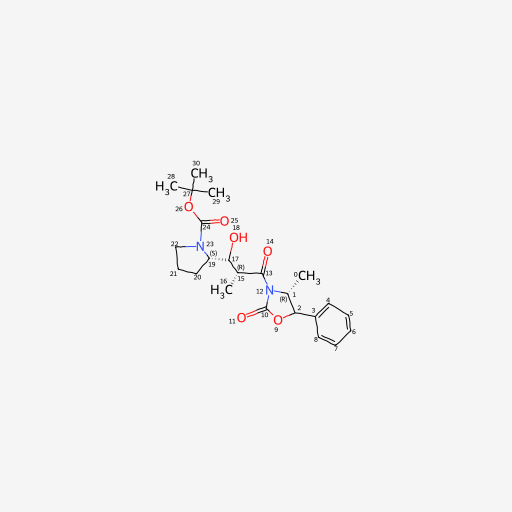 C[C@@H]1C(c2ccccc2)OC(=O)N1C(=O)[C@H](C)C(O)[C@@H]1CCCN1C(=O)OC(C)(C)C